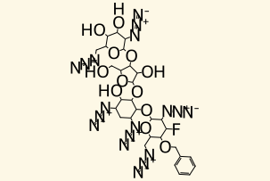 [N-]=[N+]=NCC1OC(OC2C(CO)OC(OC3C(O)C(N=[N+]=[N-])CC(N=[N+]=[N-])C3OC3OC(CN=[N+]=[N-])C(OCc4ccccc4)C(F)C3N=[N+]=[N-])C2O)C(N=[N+]=[N-])C(O)C1O